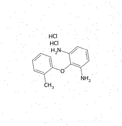 Cc1ccccc1Oc1c(N)cccc1N.Cl.Cl